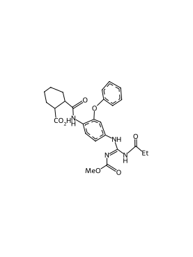 CCC(=O)NC(=NC(=O)OC)Nc1ccc(NC(=O)C2CCCCC2C(=O)O)c(Oc2ccccc2)c1